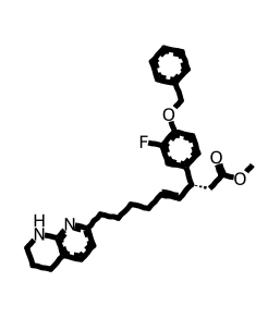 COC(=O)C[C@H](/C=C/CCCCc1ccc2c(n1)NCCC2)c1ccc(OCc2ccccc2)c(F)c1